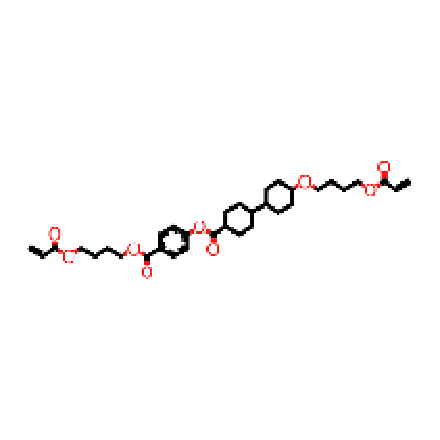 C=CC(=O)OCCCCOC(=O)c1ccc(OC(=O)C2CCC(C3CCC(OCCCCOC(=O)C=C)CC3)CC2)cc1